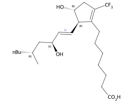 CCCC[C@@H](C)C[C@H](O)/C=C/[C@@H]1C(CCCCCCC(=O)O)=C(C(F)(F)F)C[C@H]1O